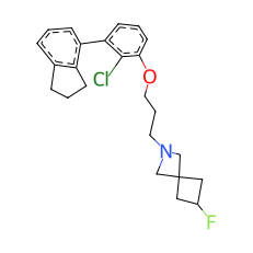 FC1CC2(C1)CN(CCCOc1cccc(-c3cccc4c3CCC4)c1Cl)C2